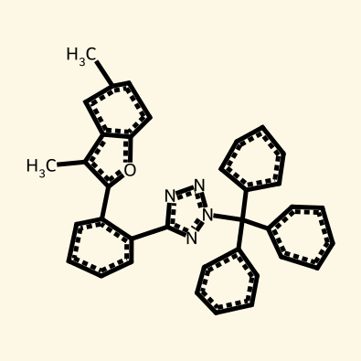 Cc1ccc2oc(-c3ccccc3-c3nnn(C(c4ccccc4)(c4ccccc4)c4ccccc4)n3)c(C)c2c1